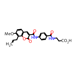 C=CCc1c(OC)ccc2cc(C(=O)Nc3ccc(C(=O)NCCC(=O)O)cc3)c(=O)oc12